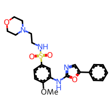 COc1ccc(S(=O)(=O)NCCN2CCOCC2)cc1Nc1ncc(-c2ccccc2)o1